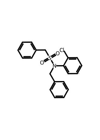 O=S(=O)(Cc1ccccc1)N(Cc1ccccc1)c1c[c]ccc1Cl